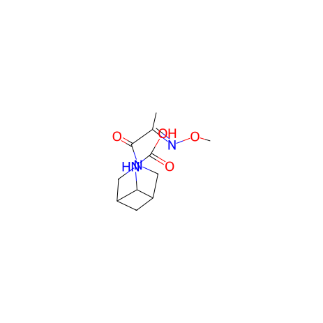 CON=C(C)C(=O)N1CC2CC(C1)C2NC(=O)O